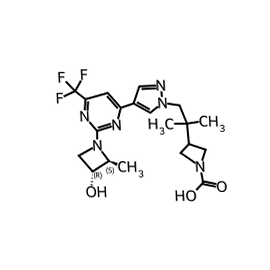 C[C@H]1[C@H](O)CN1c1nc(-c2cnn(CC(C)(C)C3CN(C(=O)O)C3)c2)cc(C(F)(F)F)n1